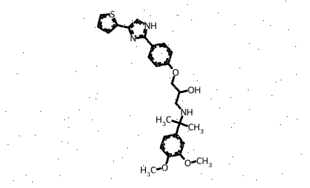 COc1ccc(C(C)(C)NCC(O)COc2ccc(-c3nc(-c4cccs4)c[nH]3)cc2)cc1OC